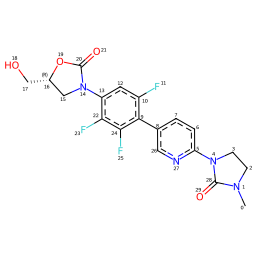 CN1CCN(c2ccc(-c3c(F)cc(N4C[C@H](CO)OC4=O)c(F)c3F)cn2)C1=O